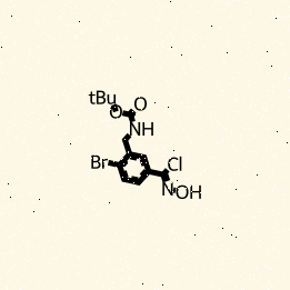 CC(C)(C)OC(=O)NCc1cc(C(Cl)=NO)ccc1Br